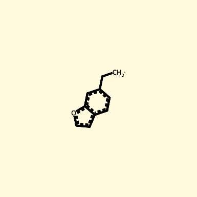 [CH2]Cc1ccc2ccoc2c1